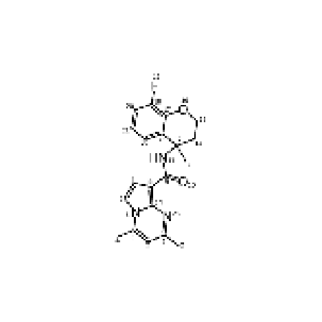 Cc1cc(C)n2ccc(C(=O)NC3(C)CCOc4c(F)cccc43)c2n1